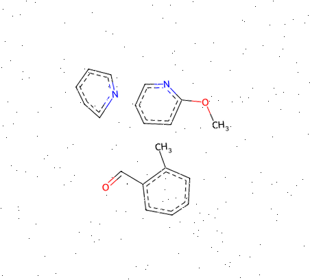 COc1ccccn1.Cc1ccccc1C=O.c1ccncc1